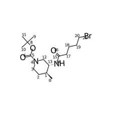 C[C@H]1CCN(C(=O)OC(C)(C)C)C[C@@H]1NC(=O)CCCCBr